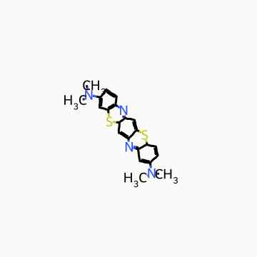 CN(C)C1=CC2=NC3=CC4Sc5cc(N(C)C)ccc5N=C4C=C3SC2C=C1